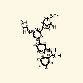 CC(C)N1CC2C[C@H]1CN2c1nc(NCCO)cc(-c2ccnc(N[C@@H](C)c3ccccc3)c2)n1